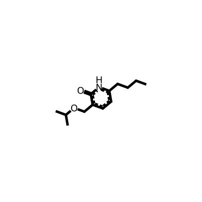 CCCCc1ccc(COC(C)C)c(=O)[nH]1